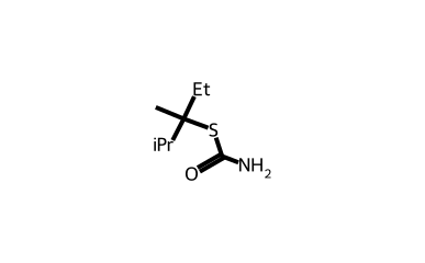 CCC(C)(SC(N)=O)C(C)C